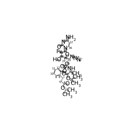 CC(C)OC(=O)CCc1ccccc1OP(=O)(NC(C)C(=O)OC(C)C)OC[C@@]1(CN=[N+]=[N-])O[C@@H](n2ccc(N)nc2=O)[C@H](F)[C@@H]1O